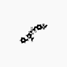 CCS(=O)(=O)c1ccc(CC(=O)Nc2nc3c(s2)CN(Cc2ccccc2)[C@@H]3C(C)C)cc1